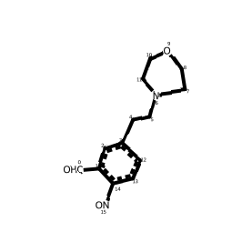 O=Cc1cc(CCN2CCOCC2)ccc1N=O